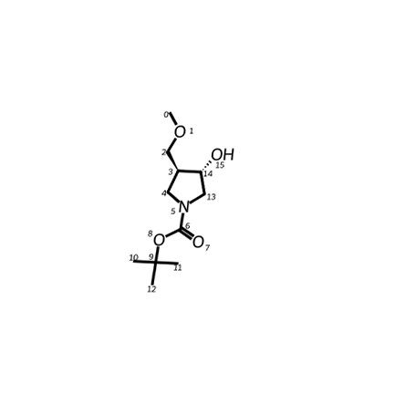 COC[C@@H]1CN(C(=O)OC(C)(C)C)C[C@H]1O